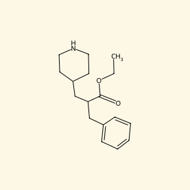 CCOC(=O)C(Cc1ccccc1)CC1CCNCC1